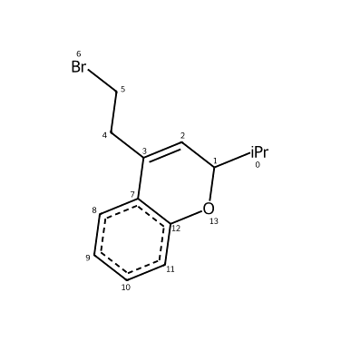 CC(C)C1C=C(CCBr)c2ccccc2O1